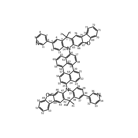 CC1(C)c2cc(-c3cccnc3)ccc2N(c2ccc3c4cccc5c(N6c7ccc(-c8cccnc8)cc7C(C)(C)c7cc8c(cc76)oc6ccccc68)ccc(c6cccc2c63)c54)c2cc3oc4ccccc4c3cc21